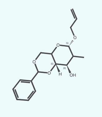 C=CCO[C@H]1OC2COC(c3ccccc3)O[C@H]2[C@H](O)C1C